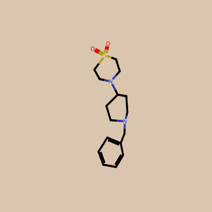 O=S1(=O)CCN(C2CCN(Cc3ccccc3)CC2)CC1